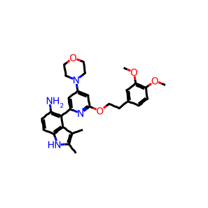 COc1ccc(CCOc2cc(N3CCOCC3)cc(-c3c(N)ccc4[nH]c(C)c(C)c34)n2)cc1OC